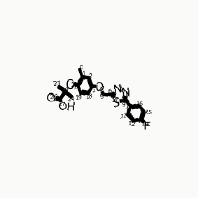 Cc1cc(OCc2nnc(-c3ccc(F)cc3)s2)ccc1OC(C)(C)C(=O)O